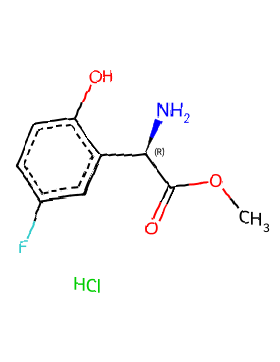 COC(=O)[C@H](N)c1cc(F)ccc1O.Cl